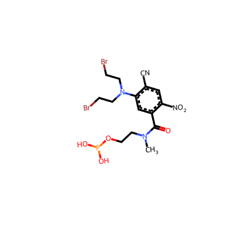 CN(CCOP(O)O)C(=O)c1cc(N(CCBr)CCBr)c(C#N)cc1[N+](=O)[O-]